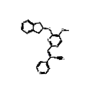 COc1ccc(/C=C(\C#N)c2ccncc2)nc1OC1Cc2ccccc2C1